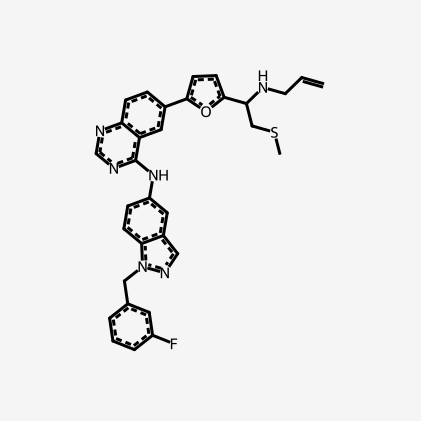 C=CCNC(CSC)c1ccc(-c2ccc3ncnc(Nc4ccc5c(cnn5Cc5cccc(F)c5)c4)c3c2)o1